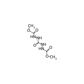 COC(=O)NNC(=O)NNC(=O)OC